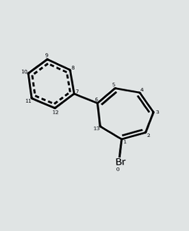 BrC1=CC=CC=C(c2ccccc2)C1